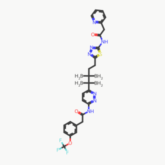 BC(B)(CCc1nnc(NC(=O)Cc2ccccn2)s1)C(B)(B)c1ccc(NC(=O)Cc2cccc(OC(F)(F)F)c2)nn1